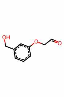 O=CCOc1cccc(CO)c1